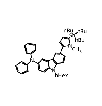 CCCCCCn1c2ccc(-c3cc[c]([Sn]([CH2]CCC)([CH2]CCC)[CH2]CCC)n3C)cc2c2cc(N(c3ccccc3)c3ccccc3)ccc21